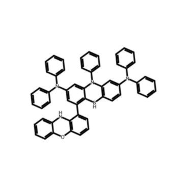 B1c2ccc(N(c3ccccc3)c3ccccc3)cc2N(c2ccccc2)c2cc(N(c3ccccc3)c3ccccc3)cc(-c3cccc4c3Nc3ccccc3O4)c21